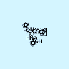 O=C(NCCC(c1ccc(-c2ccccc2)[nH]1)C1CCN(Cc2ccc(Cl)c(Cl)c2)CC1)c1ccccc1O